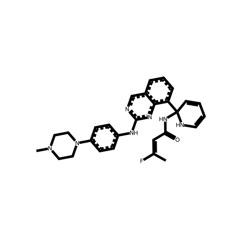 C/C(F)=C\C(=O)NC1(c2cccc3cnc(Nc4ccc(N5CCN(C)CC5)cc4)nc23)C=CC=CN1